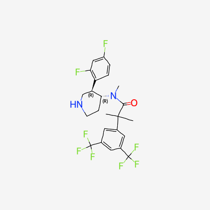 CN(C(=O)C(C)(C)c1cc(C(F)(F)F)cc(C(F)(F)F)c1)[C@@H]1CCNC[C@H]1c1ccc(F)cc1F